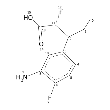 CCC(c1ccc(F)c(N)c1)[C@@H](C)C(=O)O